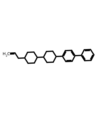 C=CCC1CCC(C2CCC(c3ccc(-c4ccccc4)cc3)CC2)CC1